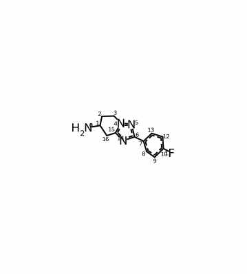 NC1CCn2nc(-c3ccc(F)cc3)nc2C1